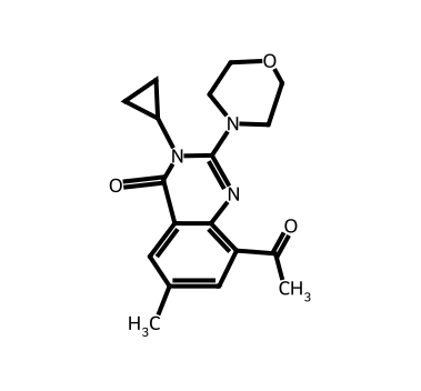 CC(=O)c1cc(C)cc2c(=O)n(C3CC3)c(N3CCOCC3)nc12